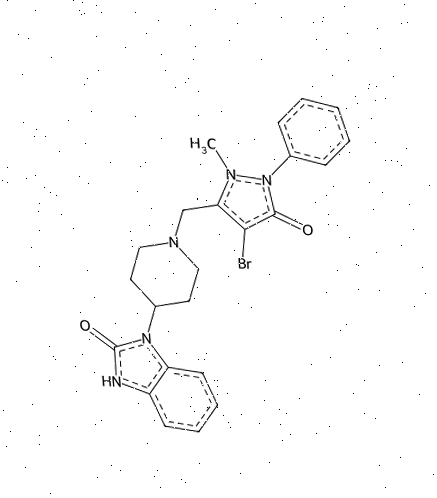 Cn1c(CN2CCC(n3c(=O)[nH]c4ccccc43)CC2)c(Br)c(=O)n1-c1ccccc1